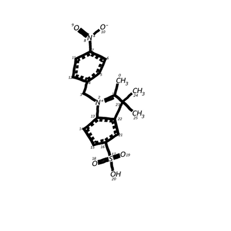 CC1=[N+](Cc2ccc([N+](=O)[O-])cc2)c2ccc(S(=O)(=O)O)cc2C1(C)C